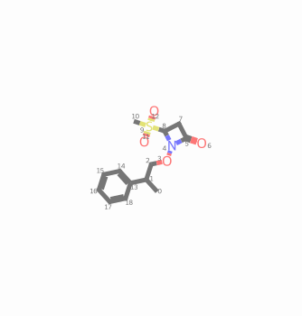 CC(CON1C(=O)CC1S(C)(=O)=O)c1ccccc1